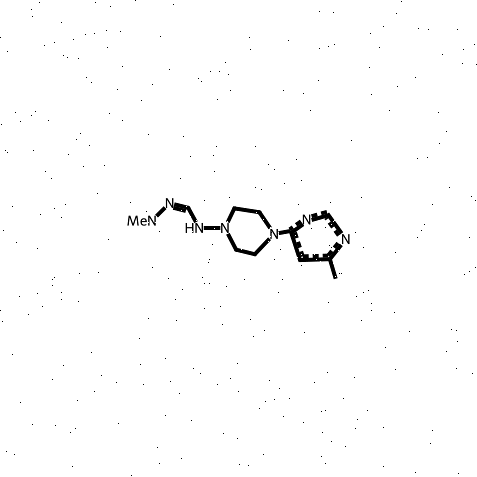 CN/N=C\NN1CCN(c2cc(C)ncn2)CC1